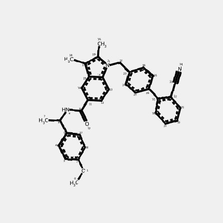 COc1ccc(C(C)NC(=O)c2ccc3c(c2)c(C)c(C)n3Cc2ccc(-c3ccccc3C#N)cc2)cc1